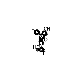 N#Cc1ccc(C(=O)NC2=CCN(C3(O)C=CC(F)=CC3=O)C=C2)c(Oc2ccc(F)cc2)c1